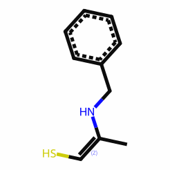 C/C(=C/S)NCc1ccccc1